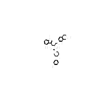 C[C@@H](c1c[nH]c2ccccc12)[C@@H](NC(=O)N1CCC(Oc2ccc(F)cc2)CC1)C(=O)Nc1ccc2c(c1)CNCC2